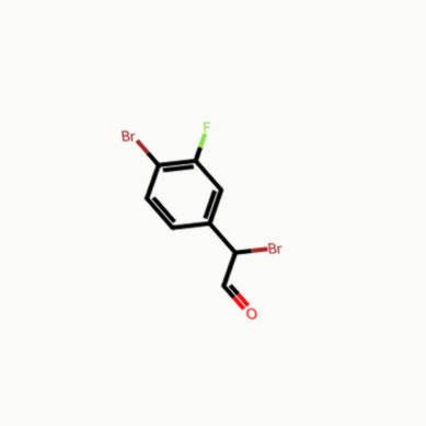 O=CC(Br)c1ccc(Br)c(F)c1